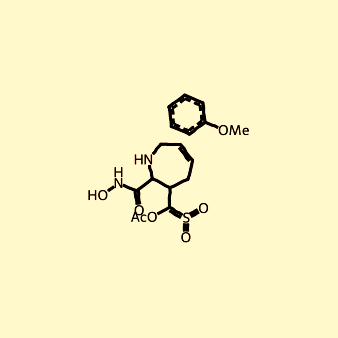 CC(=O)OC(C1CC=CCNC1C(=O)NO)=S(=O)=O.COc1ccccc1